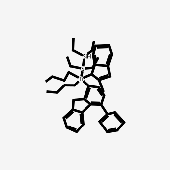 CCC[CH2][Ti]([CH2]CCC)([c]1ccc(-c2ccccc2)c2c1Cc1ccccc1-2)([CH]1C(C)=Cc2ccccc21)[Si](CC)(CC)[SiH](CC)CC